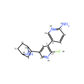 Nc1ccc(-c2cc(C3CC4CCC3N4)cnc2F)cn1